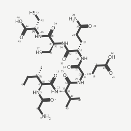 CC[C@H](C)[C@H](NC(=O)CN)C(=O)N[C@H](C(=O)N[C@@H](CCC(=O)O)C(=O)N[C@@H](CCC(N)=O)C(=O)N[C@@H](CS)C(=O)N[C@@H](CS)C(=O)O)C(C)C